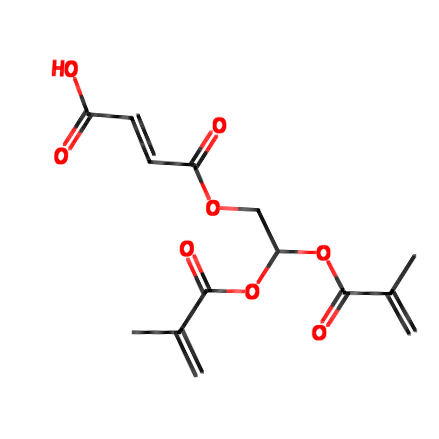 C=C(C)C(=O)OC(COC(=O)C=CC(=O)O)OC(=O)C(=C)C